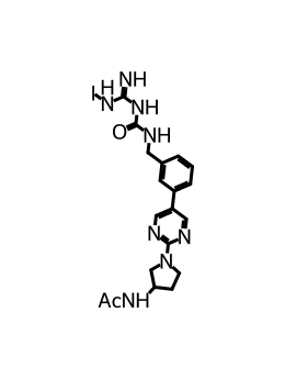 CC(=O)NC1CCN(c2ncc(-c3cccc(CNC(=O)NC(=N)NI)c3)cn2)C1